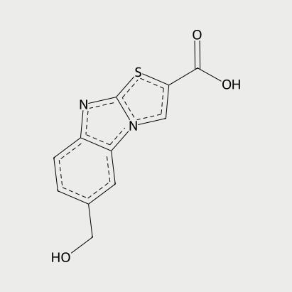 O=C(O)c1cn2c(nc3ccc(CO)cc32)s1